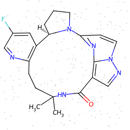 CC1(C)CCc2ncc(F)cc2[C@H]2CCCN2c2ccn3ncc(c3n2)C(=O)N1